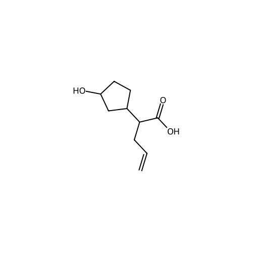 C=CCC(C(=O)O)C1CCC(O)C1